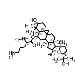 CC(C)(O)[C@@H]1CC[C@](C)([C@H]2[C@@H](O)C[C@@]3(C)C4C[C@H](OC(=O)[C@@H](CCCNCl)NCl)[C@H]5C(C)(C)[C@@H](O)CC[C@@]56CC46CC[C@]23C)O1